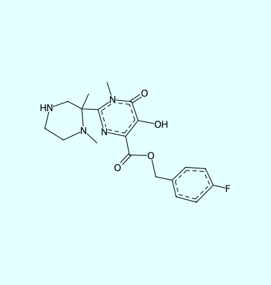 CN1CCNCC1(C)c1nc(C(=O)OCc2ccc(F)cc2)c(O)c(=O)n1C